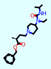 CCN(C(=O)NC(C)C)C1CCN(CC[C@H](C)C(=O)OCc2ccccc2)CC1